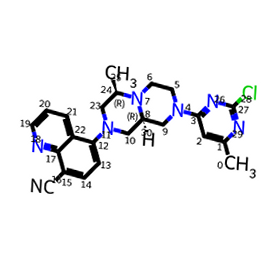 Cc1cc(N2CCN3[C@@H](C2)CN(c2ccc(C#N)c4ncccc24)C[C@H]3C)nc(Cl)n1